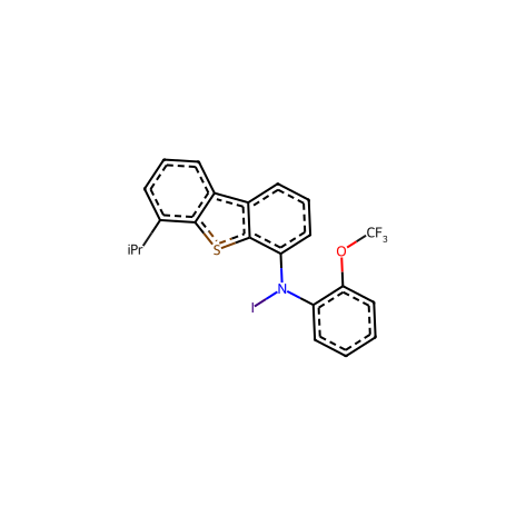 CC(C)c1cccc2c1sc1c(N(I)c3ccccc3OC(F)(F)F)cccc12